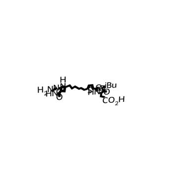 CCC(C)OC(=O)C(CCC(=O)O)NC(=O)c1ccc(CCCCCCc2cc3c(=O)[nH]c(N)nc3[nH]2)s1